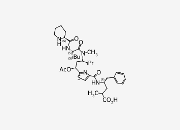 CC[C@H](C)[C@H](NC(=O)[C@@H]1CCCCN1)C(=O)N(C)C(CC(OC(C)=O)c1nc(C(=O)N[C@@H](Cc2ccccc2)CC(C)C(=O)O)cs1)C(C)C